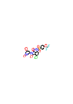 COc1cc(N2C(=O)c3c(Cl)ccc(NS(=O)(=O)c4ccc(OC(F)F)cc4)c3C2=O)c[n+]([O-])c1